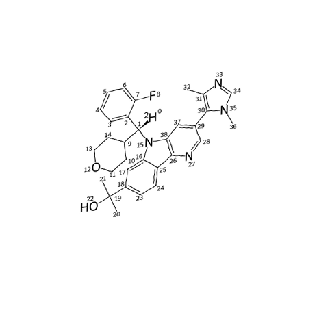 [2H][C@](c1ccccc1F)(C1CCOCC1)n1c2cc(C(C)(C)O)ccc2c2ncc(-c3c(C)ncn3C)cc21